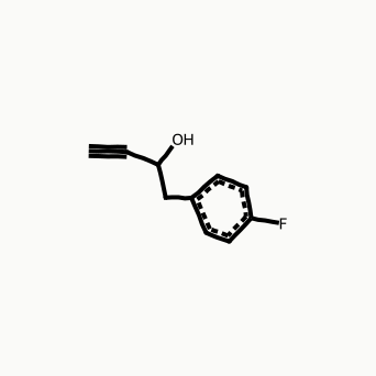 C#CC(O)Cc1ccc(F)cc1